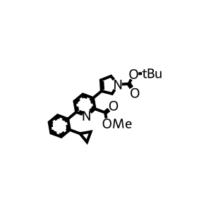 COC(=O)c1nc(-c2ccccc2C2CC2)ccc1C1=CCN(C(=O)OC(C)(C)C)C1